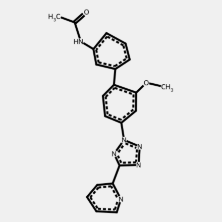 COc1cc(-n2nnc(-c3ccccn3)n2)ccc1-c1cccc(NC(C)=O)c1